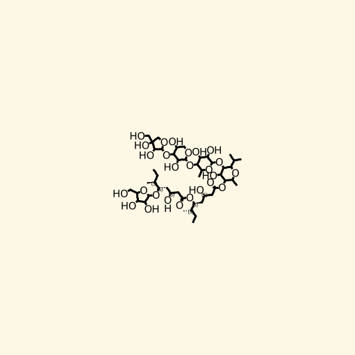 CC[C@H](C)[C@H](C[C@H](O)CC(=O)OC1C(C)OC(C(C)C)C(OC2OC(C)C(OC3OCC(O)C(OC4OCC(O)(CO)C4O)C3O)C(O)C2O)C1O)OC(=O)C[C@@H](O)C[C@H](OC1OC(CO)C(O)C1O)[C@@H](C)CC